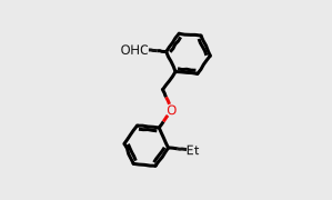 CCc1ccccc1OCc1ccccc1C=O